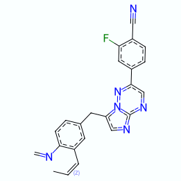 C=Nc1ccc(Cc2cnc3ncc(-c4ccc(C#N)c(F)c4)nn23)cc1/C=C\C